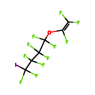 FC(F)=C(F)OC(F)(F)C(F)(F)C(F)(F)C(F)(F)I